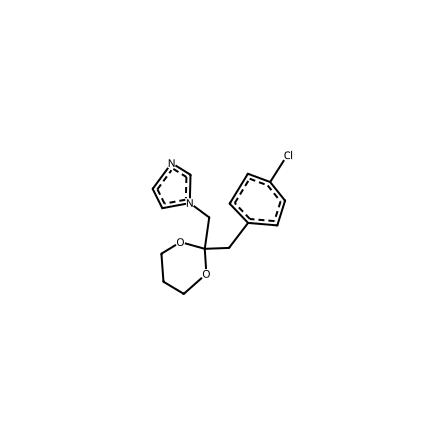 Clc1ccc(CC2(Cn3ccnc3)OCCCO2)cc1